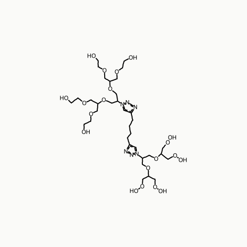 OCCOCC(COCCO)OCC(COC(COCCO)COCCO)n1cc(CCCCc2cn(C(COC(COO)COO)COC(COO)COO)nn2)nn1